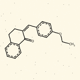 CCOc1ccc(C=C2CCc3ccccc3C2=O)cc1